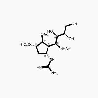 CC(=O)N[C@H]([C@@H](O)[C@@H](O)CO)[C@@H]1[C@H](OC(C)=O)[C@@H](C(=O)O)C[C@H]1NC(=N)N